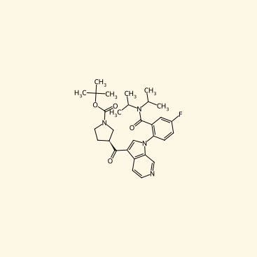 CC(C)N(C(=O)c1cc(F)ccc1-n1cc(C(=O)[C@H]2CCN(C(=O)OC(C)(C)C)C2)c2ccncc21)C(C)C